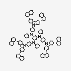 C1=CC2C(C=C1c1cccc3ccccc13)c1cc(-c3cccc4ccccc34)ccc1N2c1ccc(N(c2ccccc2)c2cc(N(c3ccccc3)c3ccc(-n4c5ccc(-c6cccc7ccccc67)cc5c5cc(-c6cccc7ccccc67)ccc54)cc3)cc(N(c3ccccc3)c3ccc(-n4c5ccc(-c6cccc7ccccc67)cc5c5cc(-c6cccc7ccccc67)ccc54)cc3)c2)cc1